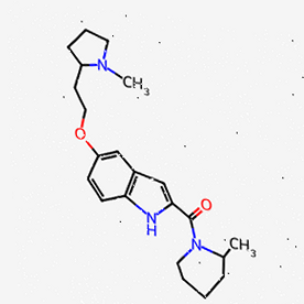 CC1CCCCN1C(=O)c1cc2cc(OCCC3CCCN3C)ccc2[nH]1